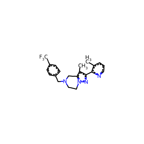 Cc1cccnc1-c1nn2c(c1C)CN(Cc1ccc(C(F)(F)F)cc1)CC2